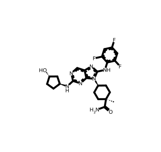 C[C@]1(C(N)=O)CC[C@@H](n2c(Nc3c(F)cc(F)cc3F)nc3cnc(N[C@H]4CC[C@H](O)C4)nc32)CC1